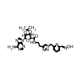 CC1(C)O[C@@H]2[C@H](O1)[C@@H](C(=O)NCCc1cn(Cc3cccc(C=NO)n3)nn1)O[C@H]2n1cnc2c(N)ncnc21